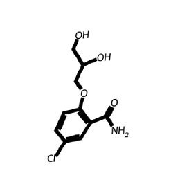 NC(=O)c1cc(Cl)ccc1OCC(O)CO